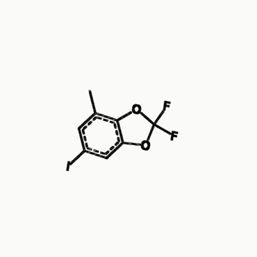 Cc1cc(I)cc2c1OC(F)(F)O2